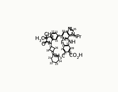 Cc1cc(F)c(Nc2nc(-c3ccc4c(c3)N([C@H]3C[C@@H](N5CCCCC5)C3)C(=O)C4(C)C)cc3ncn(C(C)C)c23)cc1C(=O)O